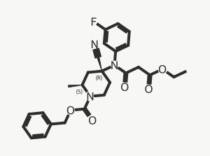 CCOC(=O)CC(=O)N(c1cccc(F)c1)[C@]1(C#N)CCN(C(=O)OCc2ccccc2)[C@@H](C)C1